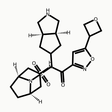 O=C(NC1C[C@H]2CC[C@@H](C1)N2S(=O)(=O)CC1C[C@H]2CNC[C@H]2C1)c1cc(C2COC2)on1